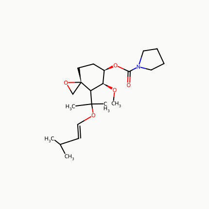 CO[C@H]1C(C(C)(C)O/C=C/C(C)C)[C@]2(CC[C@H]1OC(=O)N1CCCC1)CO2